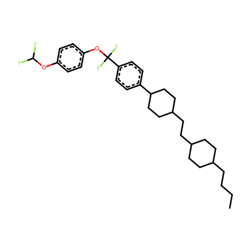 CCCCC1CCC(CCC2CCC(c3ccc(C(F)(F)Oc4ccc(OC(F)F)cc4)cc3)CC2)CC1